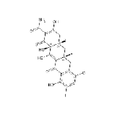 NC(=O)C1=C(O)C[C@@H]2C[C@@H]3Cc4c(Cl)cc(I)c(O)c4C(=O)C3=C(O)[C@]2(O)C1=O